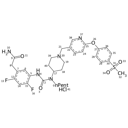 CCCCCN(C(=O)Nc1cc(CC(N)=O)c(F)cc1F)C1CCN(Cc2ccc(Oc3ccc(S(C)(=O)=O)cc3)nc2)CC1.Cl